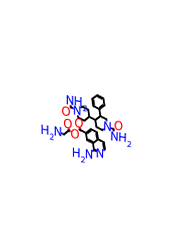 NC(=O)N1CCC(C2CCN(C(N)=O)CC2c2ccccc2)CC1.NCC(=O)OC(=O)c1ccc2ccnc(N)c2c1